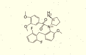 COc1ccc(S(=O)(=O)N(c2c(Cc3c(F)cccc3F)cccc2OC)[C@H]2CCC[C@@H]2N)cc1OC